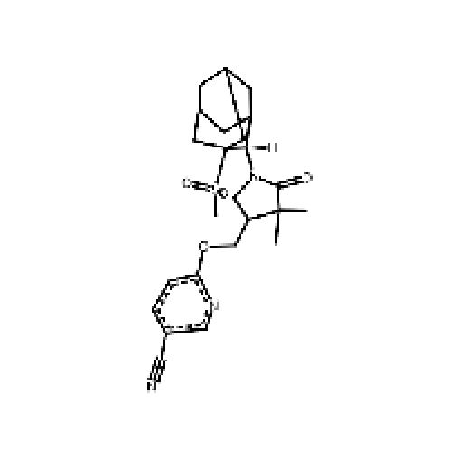 CC1(C)C(=O)N([C@H]2C3CC4CC(C3)CC2(S(C)(=O)=O)C4)CC1COc1ccc(C#N)cn1